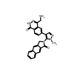 Cn1ncc(-c2ccc3c(=O)[nH]nc(CN)c3c2)c1N1Cc2cc3ccccc3cc2C1=O